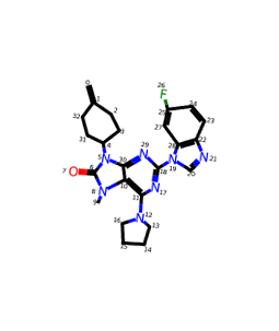 C=C1CCC(n2c(=O)n(C)c3c(N4CCCC4)nc(-n4cnc5ccc(F)cc54)nc32)CC1